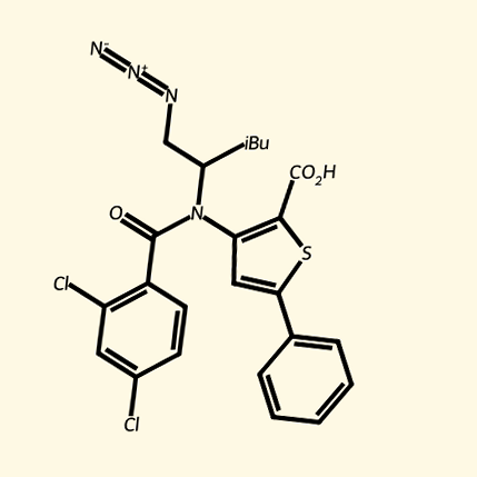 CCC(C)C(CN=[N+]=[N-])N(C(=O)c1ccc(Cl)cc1Cl)c1cc(-c2ccccc2)sc1C(=O)O